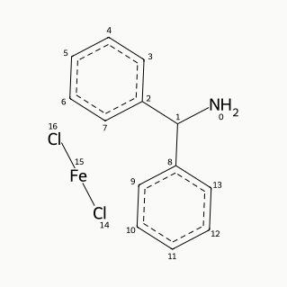 NC(c1ccccc1)c1ccccc1.[Cl][Fe][Cl]